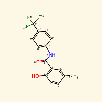 Cc1ccc(O)c(C(=O)Nc2ccc(C(F)(F)F)cc2)c1